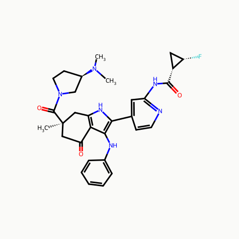 CN(C)[C@@H]1CCN(C(=O)[C@]2(C)CC(=O)c3c([nH]c(-c4ccnc(NC(=O)[C@@H]5C[C@@H]5F)c4)c3Nc3ccccc3)C2)C1